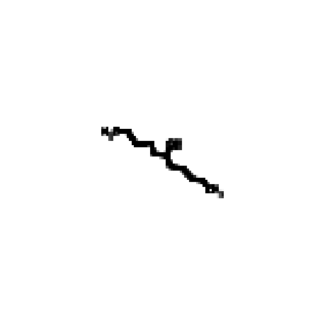 CCCCCC(O)CCCCC